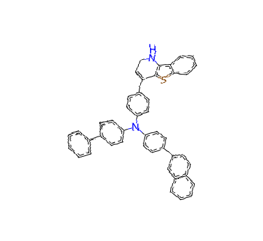 C1=C(c2ccc(N(c3ccc(-c4ccccc4)cc3)c3ccc(-c4ccc5ccccc5c4)cc3)cc2)c2sc3ccccc3c2NC1